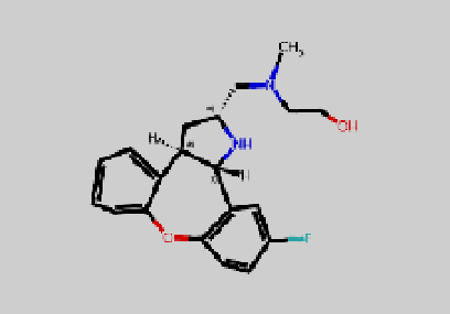 CN(CCO)C[C@H]1C[C@@H]2c3ccccc3Oc3ccc(F)cc3[C@H]2N1